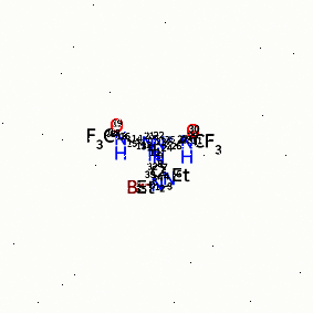 CCN1CCN(CC)c2cc(/N=N/c3n(CCCCNC(=O)C(F)(F)F)cc[n+]3CCCCNC(=O)C(F)(F)F)ccc21.[Br-]